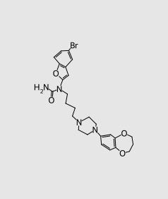 NC(=O)N(CCCCN1CCN(c2ccc3c(c2)OCCCO3)CC1)c1cc2cc(Br)ccc2o1